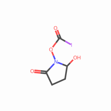 O=C(I)ON1C(=O)CCC1O